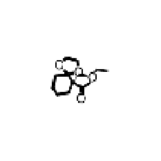 CCOC[C@]1(C(C)=O)CCCCC12OCCO2